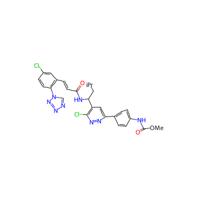 COC(=O)Nc1ccc(-c2cc(C(CC(C)C)NC(=O)/C=C/c3cc(Cl)ccc3-n3cnnn3)c(Cl)nn2)cc1